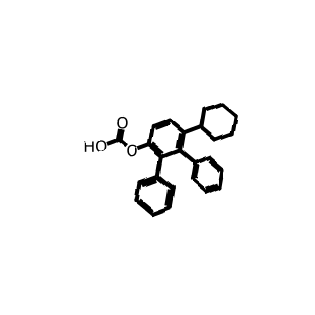 O=C(O)Oc1ccc(C2CCCCC2)c(-c2ccccc2)c1-c1ccccc1